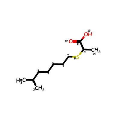 CC(C)CCCCCSC(C)C(=O)O